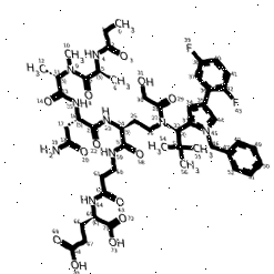 CCC(=O)N[C@@H](C)C(=O)N(C)[C@@H](C)C(=O)N[C@@H](CC(N)=O)C(=O)N[C@@H](CCN(C(=O)CO)[C@@H](c1cc(-c2cc(F)ccc2F)cn1Cc1ccccc1)C(C)(C)C)C(=O)NCCC(=O)N[C@H](CCC(=O)O)C(=O)O